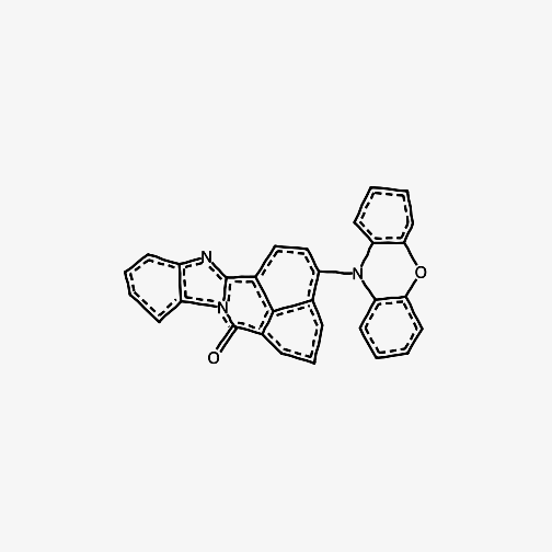 O=c1c2cccc3c(N4c5ccccc5Oc5ccccc54)ccc(c32)c2nc3ccccc3n12